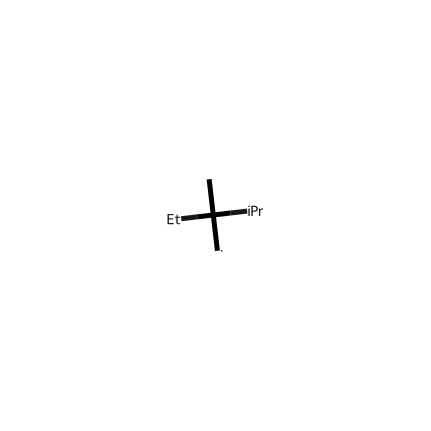 [CH2]C(C)(CC)C(C)C